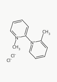 Cc1cccc[n+]1-c1cccc[n+]1C.[Cl-].[Cl-]